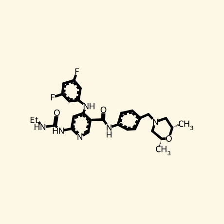 CCNC(=O)Nc1cc(Nc2cc(F)cc(F)c2)c(C(=O)Nc2ccc(CN3C[C@@H](C)O[C@@H](C)C3)cc2)cn1